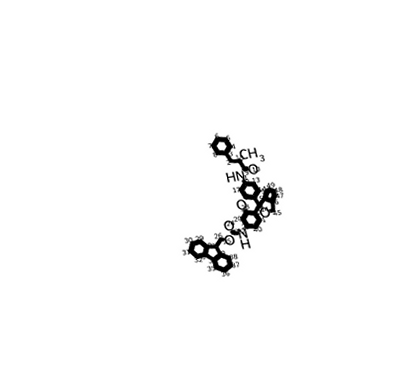 CC(Cc1ccccc1)C(=O)Nc1ccc2c(c1)Oc1cc(NC(=O)OCC3c4ccccc4-c4ccccc43)ccc1C21OCc2ccccc21